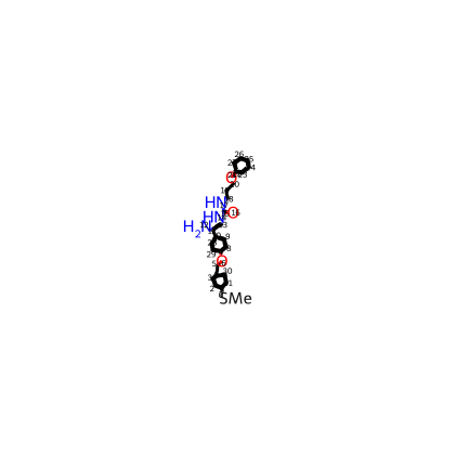 CSc1ccc(COc2ccc(/C(N)=C/NC(=O)NCCCOc3ccccc3)cc2)cc1